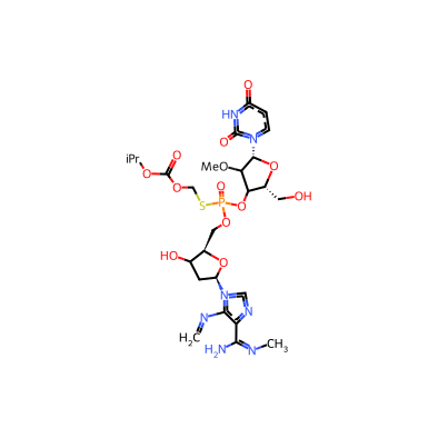 C=Nc1c(/C(N)=N\C)ncn1[C@H]1CC(O)[C@@H](COP(=O)(OC2C(OC)[C@H](n3ccc(=O)[nH]c3=O)O[C@@H]2CO)SCOC(=O)OC(C)C)O1